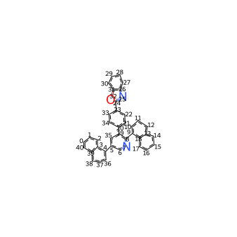 c1ccc2c(-c3cnc(-c4cccc5ccccc45)c(-c4ccc(-c5nc6ccccc6o5)cc4)c3)cccc2c1